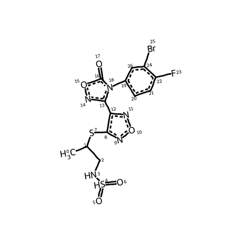 CC(CN[SH](=O)=O)Sc1nonc1-c1noc(=O)n1-c1ccc(F)c(Br)c1